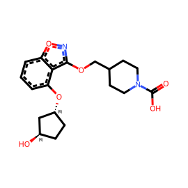 O=C(O)N1CCC(COc2noc3cccc(O[C@@H]4CC[C@@H](O)C4)c23)CC1